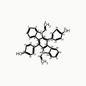 C=Cn1c2ccccc2c2c(-c3ccc(O)cc3)c3c(c(-c4ccc(O)cc4)c21)c1ccccc1n3C=C